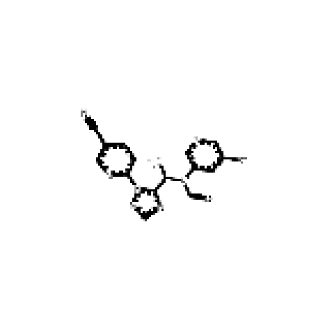 CC(c1ncnn1-c1ccc(C#N)cn1)N(C=O)c1cncc(Cl)c1